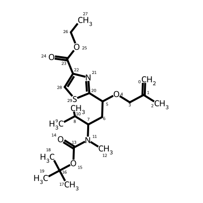 C=C(C)COC(CC(C(C)C)N(C)C(=O)OC(C)(C)C)c1nc(C(=O)OCC)cs1